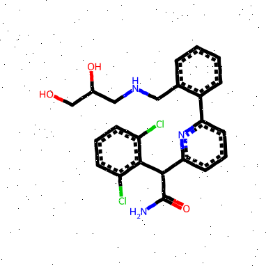 NC(=O)C(c1cccc(-c2ccccc2CNCC(O)CO)n1)c1c(Cl)cccc1Cl